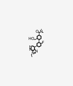 CCn1cnc2c(-c3ccc(F)c(-c4ccc(C(=O)N(C)C)cc4CO)c3)cnnc21